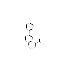 NC(=O)C1CCNc2ccc(-c3ccccc3)cc21